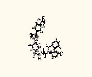 CCc1cccc(C)c1N1C(=O)CS/C1=N\C(=S)NNC(C)c1ccc(-c2ncn(-c3ccc(C(F)(F)F)cc3)n2)cc1